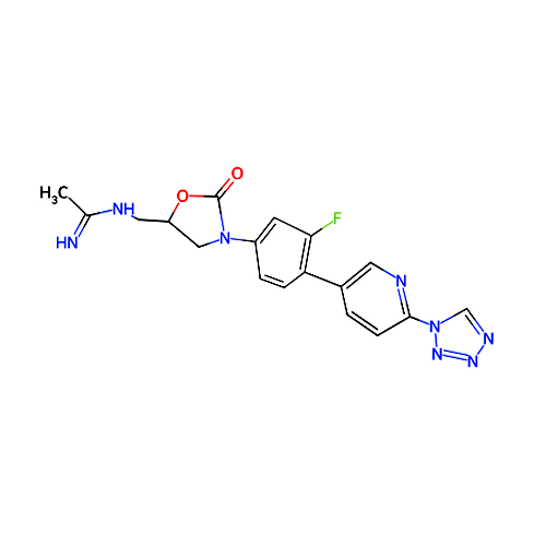 CC(=N)NCC1CN(c2ccc(-c3ccc(-n4cnnn4)nc3)c(F)c2)C(=O)O1